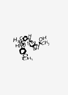 CCOc1ccc(NS(=O)(=O)c2cc(Nc3ncc(Br)c(N[C@H](C)CO)n3)ccc2C)cc1